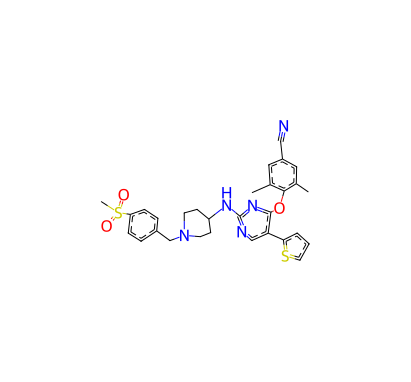 Cc1cc(C#N)cc(C)c1Oc1nc(NC2CCN(Cc3ccc(S(C)(=O)=O)cc3)CC2)ncc1-c1cccs1